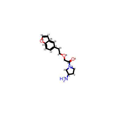 NC1CCN(C(=O)COCCc2ccc3occc3c2)C1